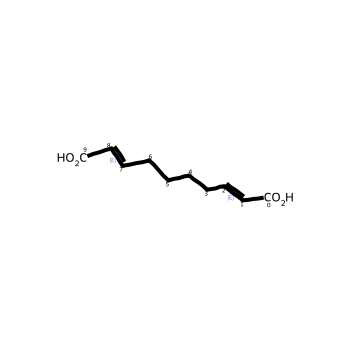 O=C(O)/C=C/CCCC/C=C/C(=O)O